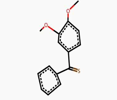 COc1ccc(C(=S)c2ccccc2)cc1OC